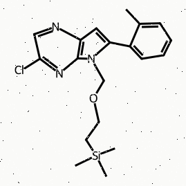 Cc1ccccc1-c1cc2ncc(Cl)nc2n1COCC[Si](C)(C)C